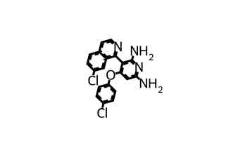 Nc1cc(Oc2ccc(Cl)cc2)c(-c2nccc3ccc(Cl)cc23)c(N)n1